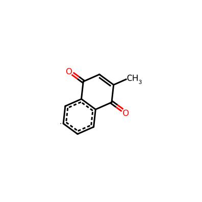 CC1=CC(=O)c2c[c]ccc2C1=O